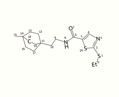 CCSc1ncc(C(=O)NCCC23CCC(C)(CC2)CC3)s1